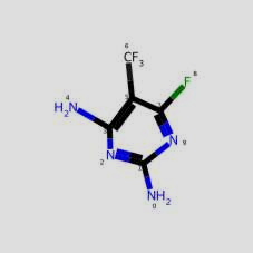 Nc1nc(N)c(C(F)(F)F)c(F)n1